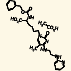 CC(=O)O.Cc1cn(CCCCC(NC(=O)OCc2ccccc2)C(=O)O)c(=O)nc1NCCNc1ccccn1